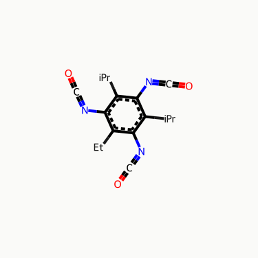 CCc1c(N=C=O)c(C(C)C)c(N=C=O)c(C(C)C)c1N=C=O